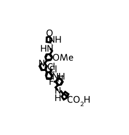 COc1cc(-c2nccc(-c3cccc(Nc4nccc(CNCC56CCC(C(=O)O)(CC5)C6)c4F)c3Cl)c2Cl)ccc1CNC[C@@H]1CCC(=O)N1